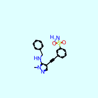 Cn1ncc(C#Cc2cccc(S(N)(=O)=O)c2)c1NCc1ccccc1